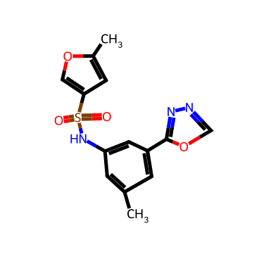 Cc1cc(NS(=O)(=O)c2coc(C)c2)cc(-c2nnco2)c1